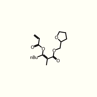 C=CC(=O)OC(CCCC)=C(C)C(=O)OCC1CCCO1